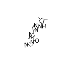 Cc1cc(C)cc(Nc2nccc(-c3cc(C(=O)N4CC[C@@H](N(C)C)C4)n(C)n3)n2)c1